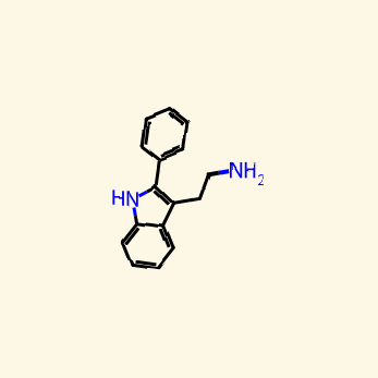 NCCc1c(-c2ccccc2)[nH]c2ccccc12